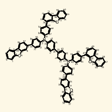 c1ccc2c(c1)oc1cc(-c3ccc(N(c4ccc(-c5ccc(N(c6ccc(-c7ccc8c(c7)oc7ccccc78)cc6)c6ccc(-c7cccc8c7oc7ccccc78)cc6)cc5)cc4)c4ccc(-c5cccc6c5oc5ccccc56)cc4)cc3)ccc12